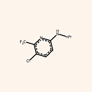 CCCNc1ccc(Cl)c(C(F)(F)F)n1